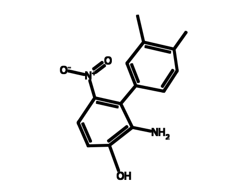 Cc1ccc(-c2c([N+](=O)[O-])ccc(O)c2N)cc1C